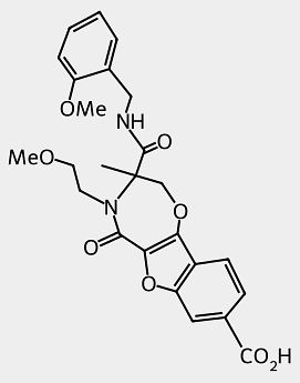 COCCN1C(=O)c2oc3cc(C(=O)O)ccc3c2OCC1(C)C(=O)NCc1ccccc1OC